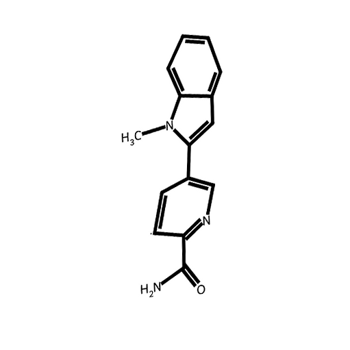 Cn1c(-c2c[c]c(C(N)=O)nc2)cc2ccccc21